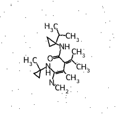 C=N/C(NC1(C)CC1)=C(\C)C(C(=O)NC1(C(C)C)CC1)=C(C)C